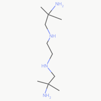 CC(C)(N)CNCCNCC(C)(C)N